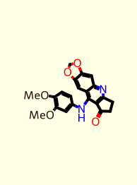 COc1ccc(Nc2c3c(nc4cc5c(cc24)OCO5)CCC3=O)cc1OC